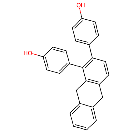 Oc1ccc(-c2ccc3c(c2-c2ccc(O)cc2)Cc2ccccc2C3)cc1